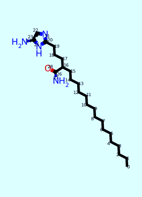 CCCCCCCCCCCCCCCCC(CCCc1ncc(N)[nH]1)C(N)=O